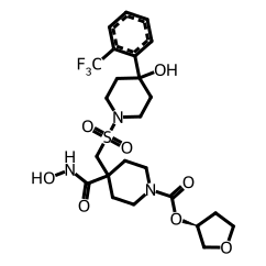 O=C(O[C@H]1CCOC1)N1CCC(CS(=O)(=O)N2CCC(O)(c3ccccc3C(F)(F)F)CC2)(C(=O)NO)CC1